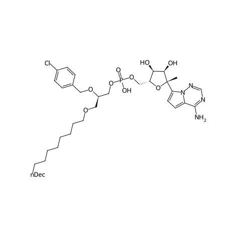 CCCCCCCCCCCCCCCCCCOC[C@H](COP(=O)(O)OC[C@H]1O[C@@](C)(c2ccc3c(N)ncnn23)[C@H](O)[C@@H]1O)OCc1ccc(Cl)cc1